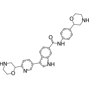 O=C(Nc1ccc(C2CNCCO2)cc1)c1ccc2c(-c3ccc(C4CNCCO4)nc3)c[nH]c2c1